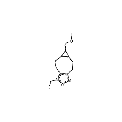 ICn1nnc2c1CCC1C(CC2)C1COI